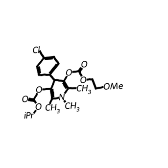 COCCOC(=O)OC1=C(C)N(C)C(C)=C(OC(=O)OC(C)C)C1c1ccc(Cl)cc1